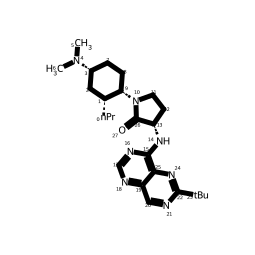 CCC[C@@H]1C[C@H](N(C)C)CC[C@@H]1N1CC[C@H](Nc2ncnc3cnc(C(C)(C)C)nc23)C1=O